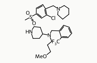 COCCCN(Cc1ccccc1C(F)(F)F)C1CCNCC1.CS(=O)(=O)c1ccc(CN2CCCCC2)c(Cl)c1